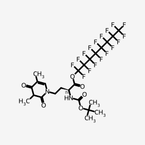 CC1=CN(CC[C@H](NC(=O)OC(C)(C)C)C(=O)OC(F)(F)C(F)(F)C(F)(F)C(F)(F)C(F)(F)C(F)(F)C(F)(F)C(F)(F)F)C(=O)C(C)C1=O